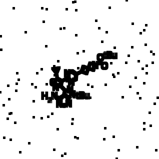 CC(C)(C)OC(=O)N1CC2(C=C(c3cnc(-c4c(-c5nn(C(C)(C)C)c6ncnc(N)c56)noc4C4CC4)nc3)C2)C1